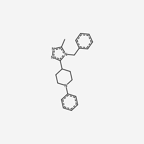 Cc1nnc(C2CCN(c3ccccc3)CC2)n1Cc1ccccc1